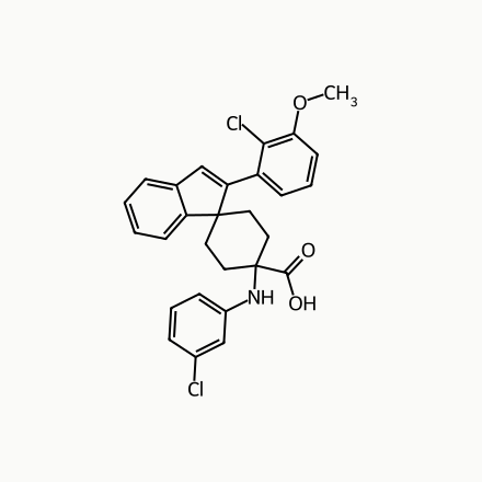 COc1cccc(C2=Cc3ccccc3C23CCC(Nc2cccc(Cl)c2)(C(=O)O)CC3)c1Cl